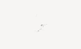 COc1ccc(CCCCCCCCOc2ccc(COc3cc(C(=O)O)ccc3OC)nc2C=CC(=O)O)cc1